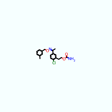 CC(=NOCc1cccc(C)c1)c1ccc(Cl)c(CCOC(N)=O)c1